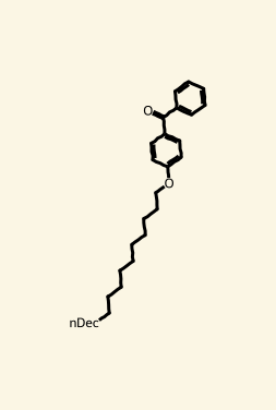 CCCCCCCCCCCCCCCCCCCCOc1ccc(C(=O)c2ccccc2)cc1